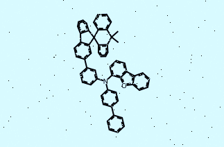 CC1(C)c2ccccc2C2(c3ccccc3-c3ccc(-c4cccc(N(c5ccc(-c6ccccc6)cc5)c5cccc6c5oc5ccccc56)c4)cc32)c2ccccc21